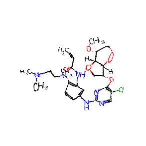 C=CC(=O)Nc1cc(Nc2ncc(Cl)c(O[C@@H]3CO[C@H]4[C@@H]3OC[C@H]4OC)n2)ccc1N(C)CCN(C)C